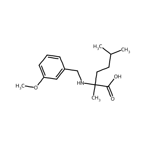 COc1cccc(CNC(C)(CCC(C)C)C(=O)O)c1